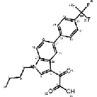 CCCCn1cc(C(=O)C(=O)O)c2cc(-c3ccc(C(F)(F)F)cc3)ccc21